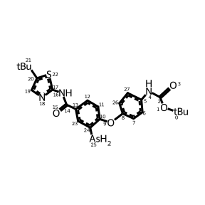 CC(C)(C)OC(=O)Nc1ccc(Oc2ccc(C(=O)Nc3ncc(C(C)(C)C)s3)cc2[AsH2])cc1